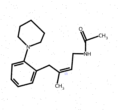 CC(=O)NC/C=C(/C)Cc1ccccc1N1CCCCC1